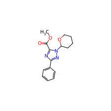 COC(=O)c1nc(-c2ccccc2)nn1C1CCCCO1